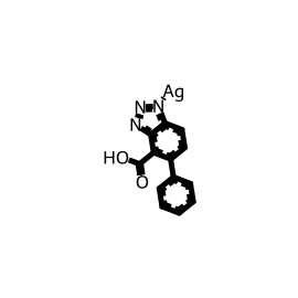 O=C(O)c1c(-c2ccccc2)ccc2c1nn[n]2[Ag]